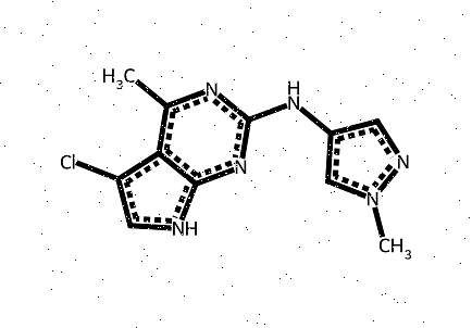 Cc1nc(Nc2cnn(C)c2)nc2[nH]cc(Cl)c12